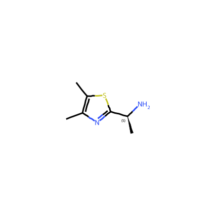 Cc1nc([C@H](C)N)sc1C